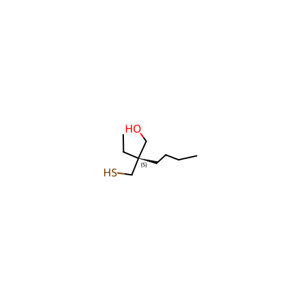 CCCC[C@@](CC)(CO)CS